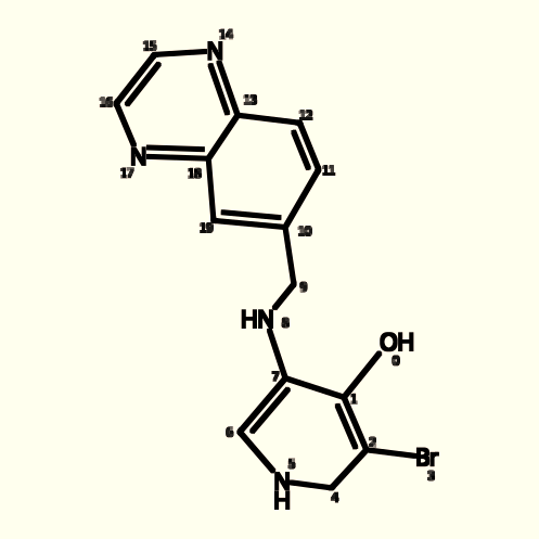 OC1=C(Br)CNC=C1NCc1ccc2nccnc2c1